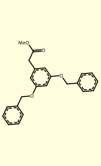 COC(=O)Cc1cc(OCc2ccccc2)cc(OCc2ccccc2)c1